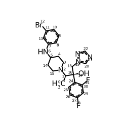 C[C@@H](N1CCC(Nc2cccc(Br)c2)CC1)[C@](O)(Cn1cncn1)c1ccc(F)cc1F